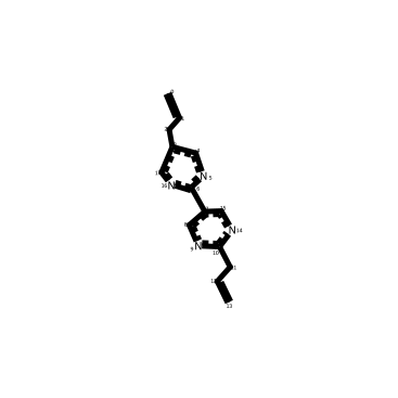 C=CCc1cnc(-c2cnc(CC=C)nc2)nc1